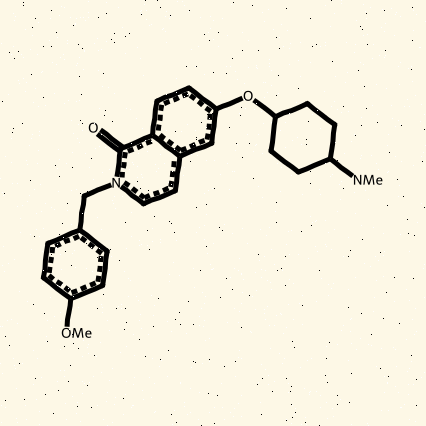 CNC1CCC(Oc2ccc3c(=O)n(Cc4ccc(OC)cc4)ccc3c2)CC1